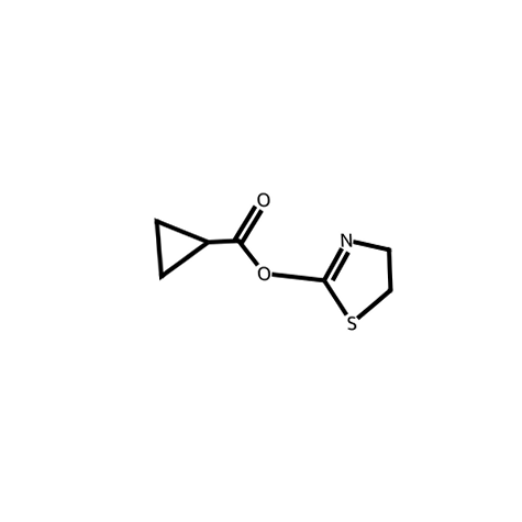 O=C(OC1=NCCS1)C1CC1